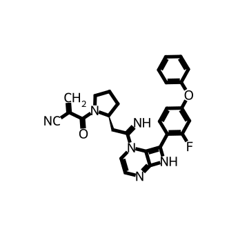 C=C(C#N)C(=O)N1CCC[C@H]1CC(=N)n1ccnc2[nH]c(-c3ccc(Oc4ccccc4)cc3F)c1-2